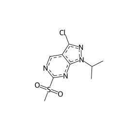 CC(C)n1nc(Cl)c2cnc(S(C)(=O)=O)nc21